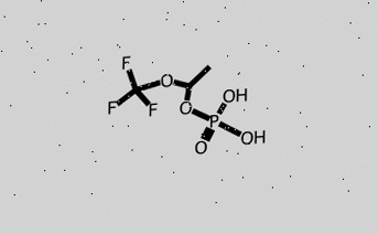 CC(OC(F)(F)F)OP(=O)(O)O